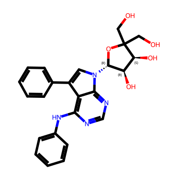 OCC1(CO)O[C@@H](n2cc(-c3ccccc3)c3c(Nc4ccccc4)ncnc32)[C@H](O)[C@@H]1O